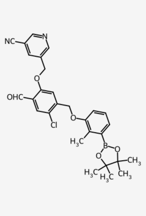 Cc1c(OCc2cc(OCc3cncc(C#N)c3)c(C=O)cc2Cl)cccc1B1OC(C)(C)C(C)(C)O1